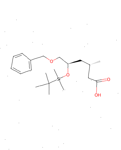 C[C@H](CC(=O)O)C[C@H](COCc1ccccc1)O[Si](C)(C)C(C)(C)C